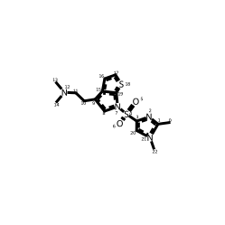 Cc1nc(S(=O)(=O)n2cc(CCN(C)C)c3ccsc32)cn1C